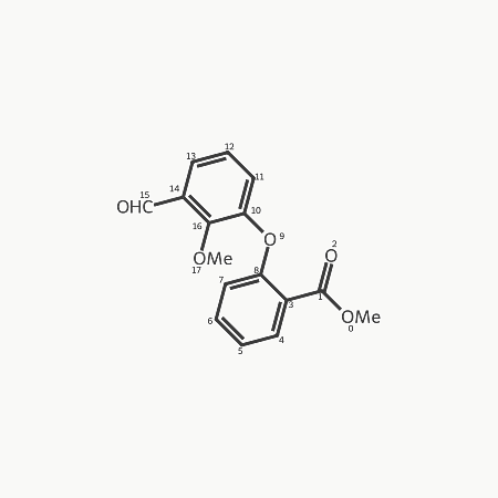 COC(=O)c1ccccc1Oc1cccc(C=O)c1OC